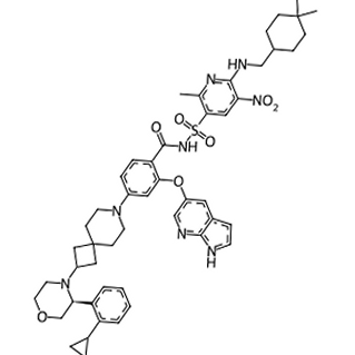 Cc1nc(NCC2CCC(C)(C)CC2)c([N+](=O)[O-])cc1S(=O)(=O)NC(=O)c1ccc(N2CCC3(CC2)CC(N2CCOC[C@@H]2c2ccccc2C2CC2)C3)cc1Oc1cnc2[nH]ccc2c1